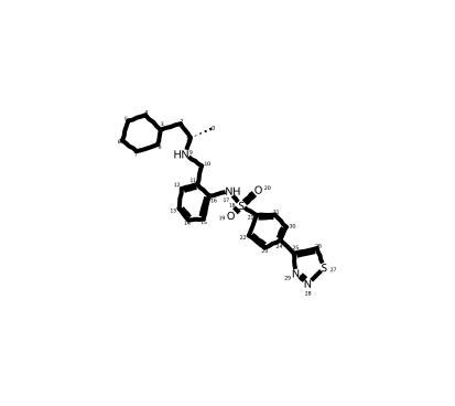 C[C@@H](CC1CCCCC1)NCc1ccccc1NS(=O)(=O)c1ccc(-c2csnn2)cc1